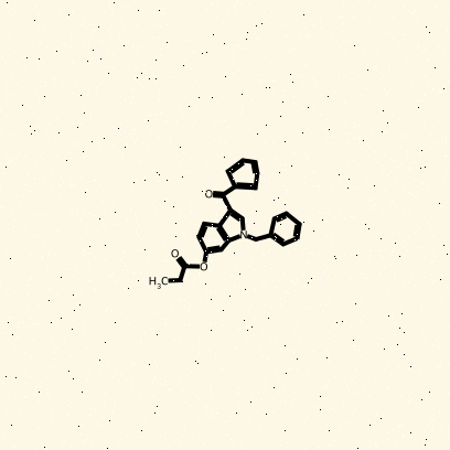 CCC(=O)Oc1ccc2c(C(=O)c3ccccc3)cn(Cc3ccccc3)c2c1